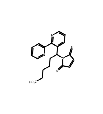 O=C(O)CCCCC(c1cccnc1-c1ccccn1)N1C(=O)C=CC1=O